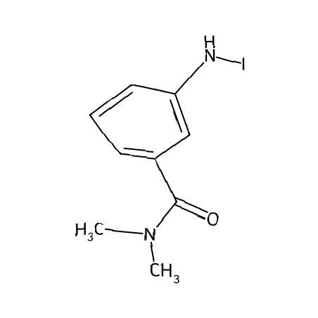 CN(C)C(=O)c1cccc(NI)c1